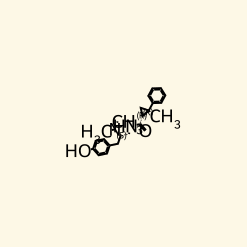 CN(C)[C@H](CNC(=O)[C@@H]1C[C@@]1(C)c1ccccc1)Cc1ccc(O)cc1